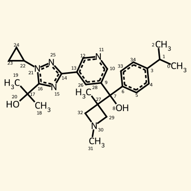 CC(C)c1ccc(C(O)(c2cncc(-c3nc(C(C)(C)O)n(C4CC4)n3)c2)C2(C)CN(C)C2)cc1